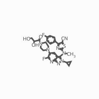 CN(c1nc(-c2ccc(F)cc2)c(C#N)s1)c1c2cc(N3CCN(C(=O)C(O)CO)CC3)c(F)nc2nn1C1CC1